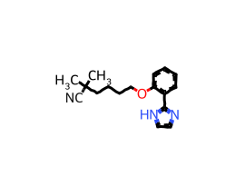 CC(C)(C#N)CCCCOc1ccccc1-c1ncc[nH]1